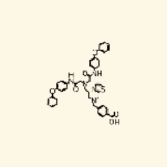 O=C(CN(CCCN(Cc1ccc(C(=O)O)cc1)Cc1nccs1)CC(=O)Nc1ccc(Oc2ccccc2)cc1)Nc1ccc(Oc2ccccc2)cc1